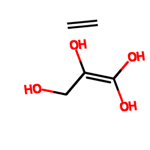 C=C.OCC(O)=C(O)O